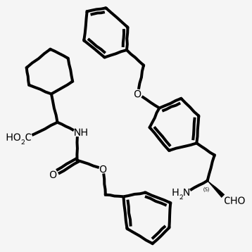 N[C@H](C=O)Cc1ccc(OCc2ccccc2)cc1.O=C(NC(C(=O)O)C1CCCCC1)OCc1ccccc1